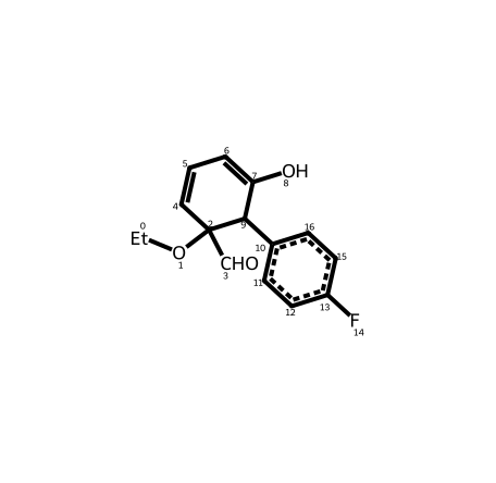 CCOC1(C=O)C=CC=C(O)C1c1ccc(F)cc1